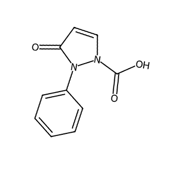 O=C(O)n1ccc(=O)n1-c1ccccc1